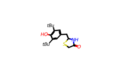 CC(C)(C)c1cc(CC2NC(=O)CS2)cc(C(C)(C)C)c1O